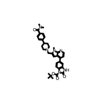 CN(C)C(=O)c1ccc(C2CCN(Cc3cc4c(-c5ccc6c(c5)[nH]c(=O)n6C(=O)OC(C)(C)C)ccnc4n3C)CC2)cc1